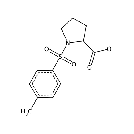 Cc1ccc(S(=O)(=O)N2CCCC2C([O])=O)cc1